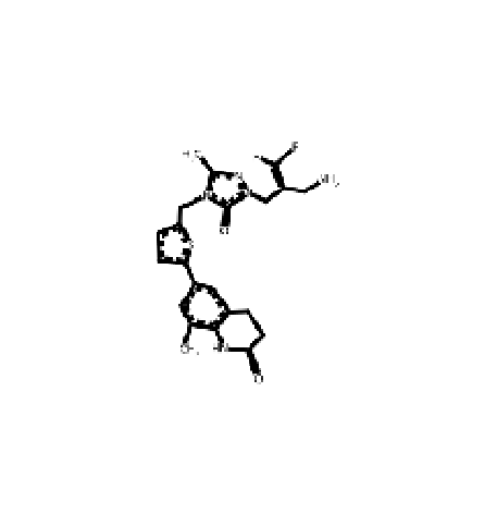 Cc1cc(-c2ccc(Cn3c(C)nn(CC(CN)=C(F)F)c3=O)s2)cc2c1NC(=O)CC2